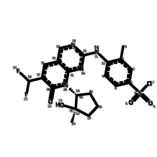 Cc1cc(S(=O)(=O)Cl)ccc1Nc1ncc2cc(C(F)F)c(=O)n([C@@H]3CCC[C@@]3(C)O)c2n1